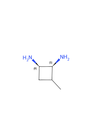 CC1C[C@@H](N)[C@H]1N